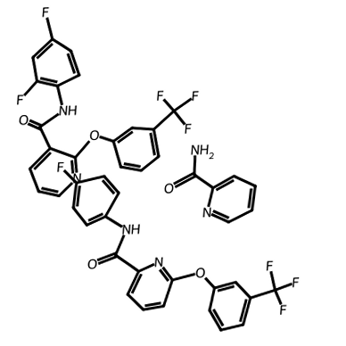 NC(=O)c1ccccn1.O=C(Nc1ccc(F)cc1)c1cccc(Oc2cccc(C(F)(F)F)c2)n1.O=C(Nc1ccc(F)cc1F)c1cccnc1Oc1cccc(C(F)(F)F)c1